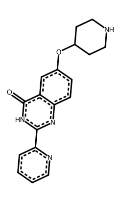 O=c1[nH]c(-c2ccccn2)nc2ccc(OC3CCNCC3)cc12